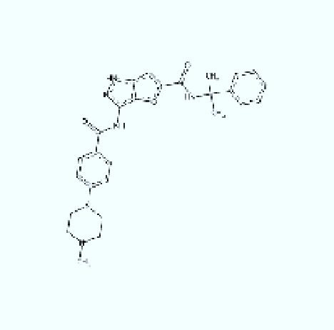 CN1CCN(c2ccc(C(=O)Nc3n[nH]c4cc(C(=O)NC(C)(C)c5ccccc5)oc34)cc2)CC1